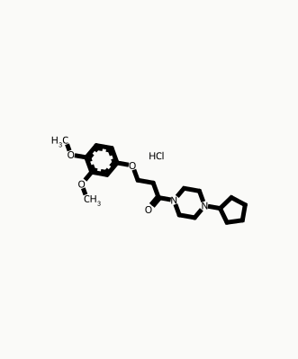 COc1ccc(OCCC(=O)N2CCN(C3CCCC3)CC2)cc1OC.Cl